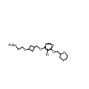 CCc1c(OCC2CC(OCCNC(C)=O)C2)ncnc1OCC1CCCCO1